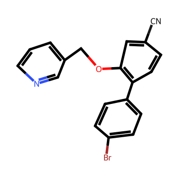 N#Cc1ccc(-c2ccc(Br)cc2)c(OCc2cccnc2)c1